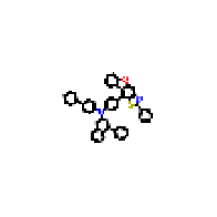 c1ccc(-c2ccc(N(c3ccc(-c4c5sc(-c6ccccc6)nc5cc5oc6ccccc6c45)cc3)c3cc(-c4ccccc4)c4ccccc4c3)cc2)cc1